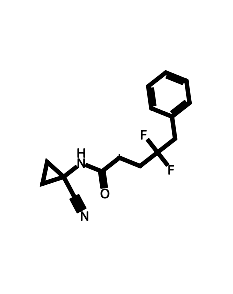 N#CC1(NC(=O)[CH]CC(F)(F)Cc2ccccc2)CC1